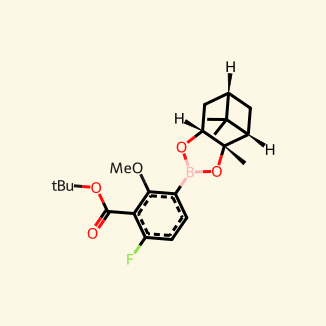 COc1c(B2O[C@@H]3C[C@@H]4C[C@@H](C4(C)C)[C@]3(C)O2)ccc(F)c1C(=O)OC(C)(C)C